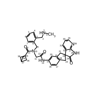 CNCc1ccccc1CN(CC(=O)Nc1ccc2c(c1)CC1(C2)C(=O)Nc2ncccc21)C(=O)C12CC(C1)C2